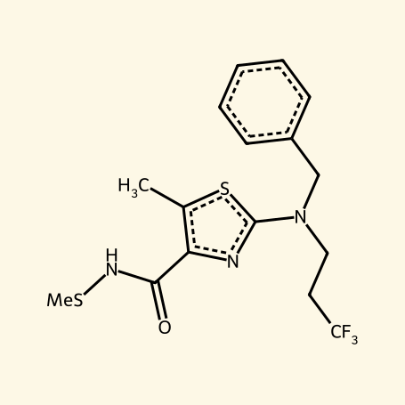 CSNC(=O)c1nc(N(CCC(F)(F)F)Cc2ccccc2)sc1C